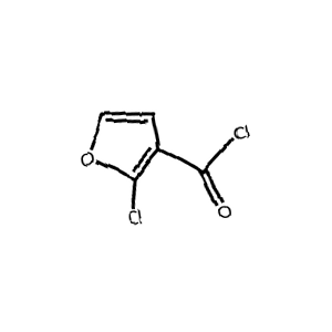 O=C(Cl)c1ccoc1Cl